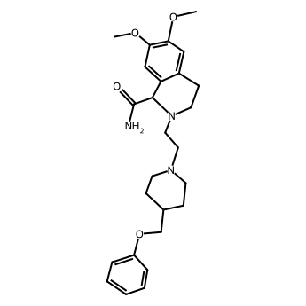 COc1cc2c(cc1OC)C(C(N)=O)N(CCN1CCC(COc3ccccc3)CC1)CC2